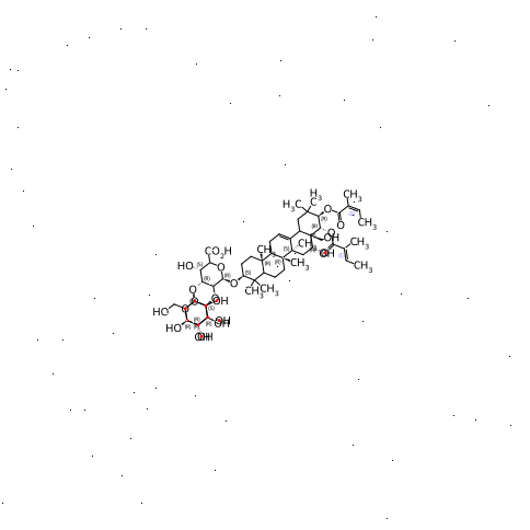 C/C=C(/C)C(=O)O[C@H]1[C@H](OC(=O)/C(C)=C/C)[C@@]2(CO)C(CC1(C)C)C1=CCC3[C@@]4(C)CC[C@H](O[C@@H]5OC(C(=O)O)[C@@H](O)[C@@H](O[C@@H]6OC[C@@H](O)[C@@H](O)C6O)C5O[C@@H]5OC(CO)[C@H](O)[C@@H](O)C5O)C(C)(C)C4CC[C@@]3(C)[C@]1(C)C[C@H]2O